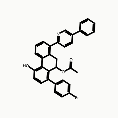 CC(=O)OC1Cc2c(-c3ccc(-c4ccccc4)cn3)cccc2-c2c(O)ccc(-c3ccc(Br)cc3)c21